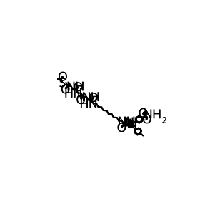 CC(=O)SCC(=O)NCC(=O)NCC(=O)NCC(=O)NCCCCCCCCCCNC(=O)c1cc(-c2ccc(C)cc2)n(-c2ccc(S(N)(=O)=O)cc2)n1